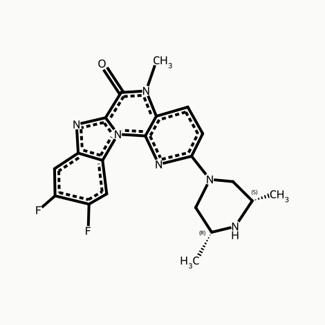 C[C@@H]1CN(c2ccc3c(n2)n2c(nc4cc(F)c(F)cc42)c(=O)n3C)C[C@H](C)N1